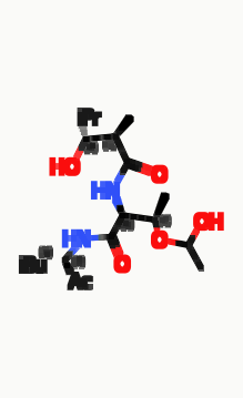 CC[C@H](C)[C@@H](NC(=O)[C@@H](NC(=O)[C@H](C)[C@H](O)C(C)C)[C@@H](C)OC(C)O)C(C)=O